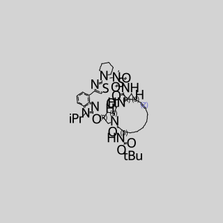 CC(C)n1c(O[C@@H]2C[C@H]3C(=O)N[C@]4(C(=O)NS(=O)(=O)N(C)C)C[C@H]4/C=C\CCCCC[C@H](NC(=O)OC(C)(C)C)C(=O)N3C2)nc2c(-c3csc(N4CCCCC4)n3)cccc21